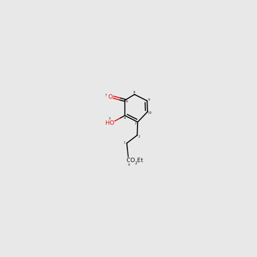 CCOC(=O)CCC1=C(O)C(=O)CC=C1